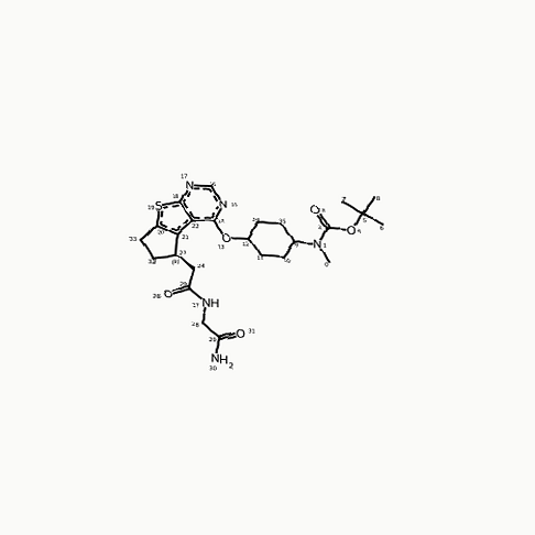 CN(C(=O)OC(C)(C)C)C1CCC(Oc2ncnc3sc4c(c23)[C@@H](CC(=O)NCC(N)=O)CC4)CC1